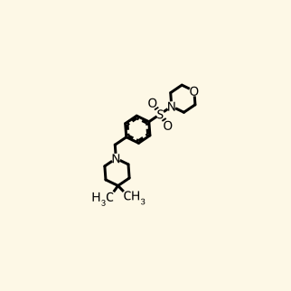 CC1(C)CCN(Cc2ccc(S(=O)(=O)N3CCOCC3)cc2)CC1